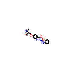 Cc1noc(C)c1COc1ccc(C(=O)Nc2nc3ccccc3o2)cc1